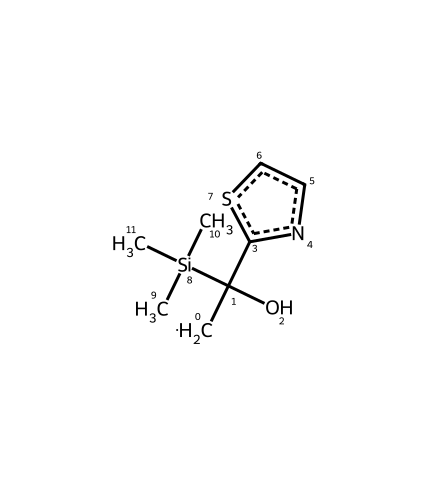 [CH2]C(O)(c1nccs1)[Si](C)(C)C